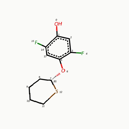 Oc1cc(F)c(O[C@H]2CCCCS2)cc1F